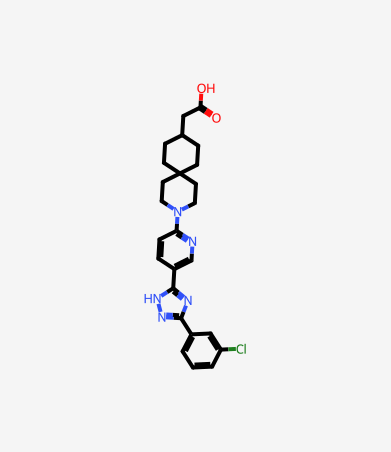 O=C(O)CC1CCC2(CC1)CCN(c1ccc(-c3nc(-c4cccc(Cl)c4)n[nH]3)cn1)CC2